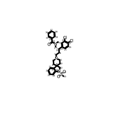 CN(C[C@@H](CCN1CCC2(CC1)CN(S(C)(=O)=O)c1ccccc12)c1ccc(Cl)c(Cl)c1)C(=O)c1ccccc1